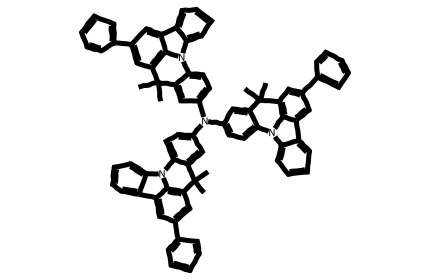 CC1(C)c2cc(N(c3ccc4c(c3)C(C)(C)c3cc(-c5ccccc5)cc5c6ccccc6n-4c35)c3ccc4c(c3)C(C)(C)c3cc(-c5ccccc5)cc5c6ccccc6n-4c35)ccc2-n2c3ccccc3c3cc(-c4ccccc4)cc1c32